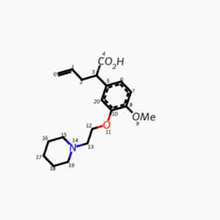 C=CCC(C(=O)O)c1ccc(OC)c(OCCN2CCCCC2)c1